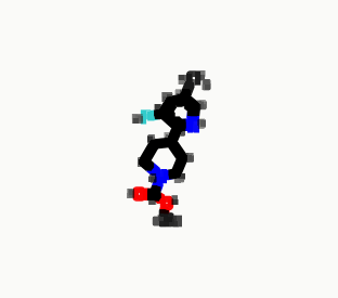 CC(C)(C)OC(=O)N1CCC(c2ncc(C(F)(F)F)cc2F)CC1